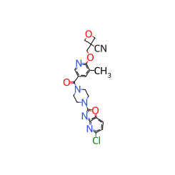 Cc1cc(C(=O)N2CCN(c3nc4nc(Cl)ccc4o3)CC2)cnc1OCC1(C#N)COC1